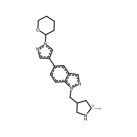 C[C@H]1CC(Cn2ncc3cc(-c4cnn(C5CCCCO5)c4)ccc32)CN1